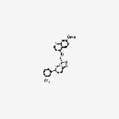 COc1ccc2c(OCc3nnc4ccc(-c5cccc(C(F)(F)F)c5)nn34)ccnc2c1